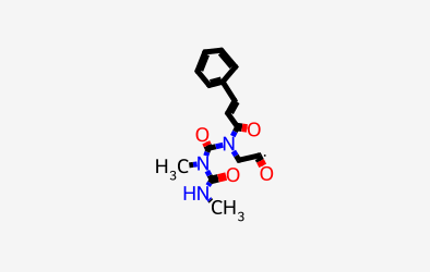 CNC(=O)N(C)C(=O)N(C[C]=O)C(=O)C=Cc1ccccc1